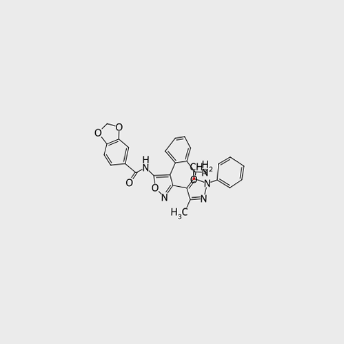 Cc1nn(-c2ccccc2)c(C)c1-c1noc(NC(=O)c2ccc3c(c2)OCO3)c1-c1ccccc1C(N)=O